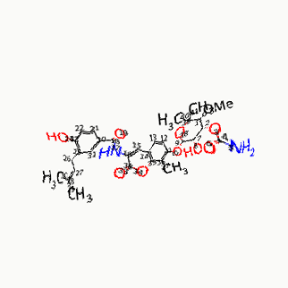 COC1[C@H](OC(N)=O)[C@H](O)C(Oc2ccc3cc(NC(=O)c4ccc(O)c(CC=C(C)C)c4)c(=O)oc3c2C)OC1(C)C